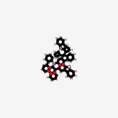 c1ccc(-c2cccc(-c3ccccc3N(c3ccc4c(c3)C3(c5ccccc5-4)c4ccccc4-n4c5ccccc5c5cccc3c54)c3ccccc3-c3ccc4oc5ccccc5c4c3)c2)cc1